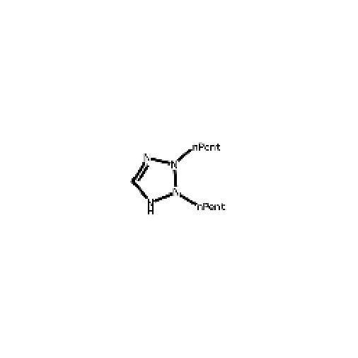 CCCCCN1N=CNN1CCCCC